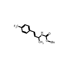 CC(C=Cc1ccc(C(F)(F)F)cc1)NC(=O)OC(C)(C)C